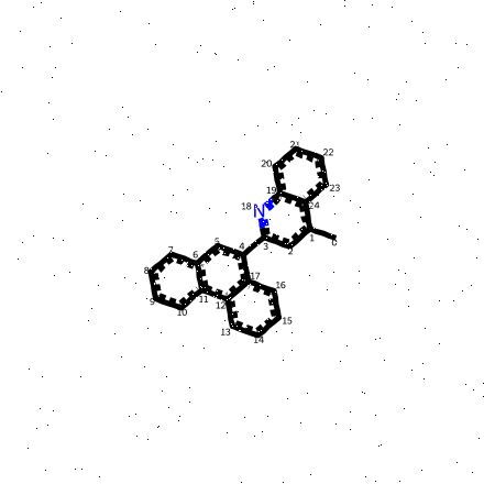 Cc1cc(-c2cc3ccccc3c3ccccc23)nc2ccccc12